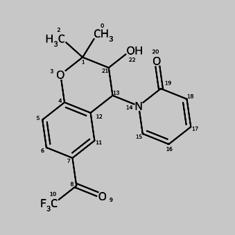 CC1(C)Oc2ccc(C(=O)C(F)(F)F)cc2C(n2ccccc2=O)C1O